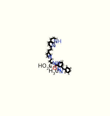 Cn1nc(-c2ccccc2)c2cccc(C(=O)NC(CCN3CCC(CCc4ccc5c(n4)NCCC5)C3)C(=O)O)c21